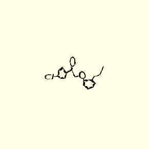 CCCc1ccccc1OCC(=O)c1ccc(Cl)cc1